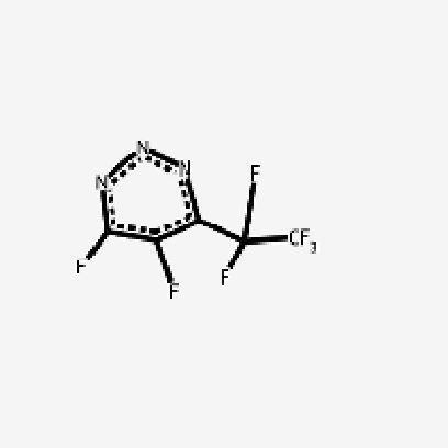 Fc1nnnc(C(F)(F)C(F)(F)F)c1F